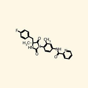 Cc1cc(NC(=O)c2ccccn2)ccc1N1C(=O)N[C@@](C)(Cc2ccc(F)cc2)C1=O